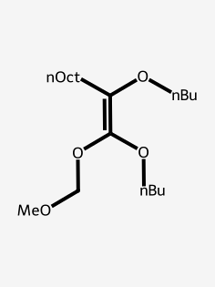 CCCCCCCCC(OCCCC)=C(OCCCC)OCOC